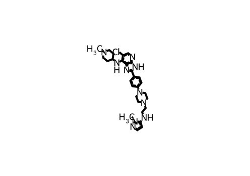 CN1CCC(Nc2c(Cl)cnc3[nH]c(-c4ccc(N5CCN(CCNc6ccnn6C)CC5)cc4)nc23)CC1